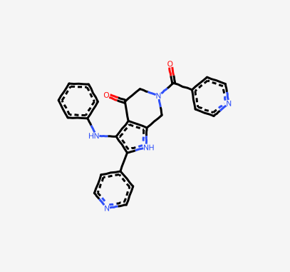 O=C1CN(C(=O)c2ccncc2)Cc2[nH]c(-c3ccncc3)c(Nc3ccccc3)c21